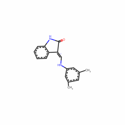 Cc1cc(C)cc(N/C=C2/C(=O)Nc3ccccc32)c1